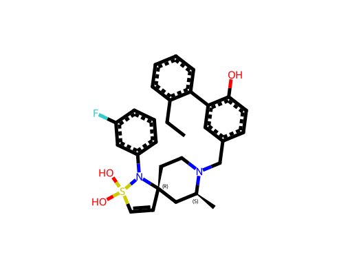 CCc1ccccc1-c1cc(CN2CC[C@]3(C=CS(O)(O)N3c3cccc(F)c3)C[C@@H]2C)ccc1O